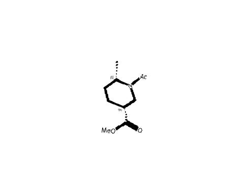 COC(=O)[C@@H]1CC[C@H](C)N(C(C)=O)C1